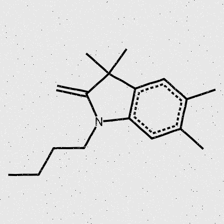 C=C1N(CCCC)c2cc(C)c(C)cc2C1(C)C